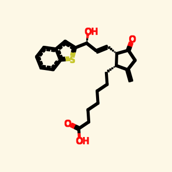 C=C1CC(=O)[C@@H](C=C[C@@H](O)c2cc3ccccc3s2)[C@H]1CCCCCCC(=O)O